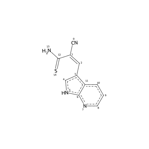 N#CC(=Cc1c[nH]c2ncccc12)C(N)=S